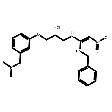 CN(C)Cc1cccc(OCCCNC(=C[N+](=O)[O-])NCc2ccccc2)c1.Cl